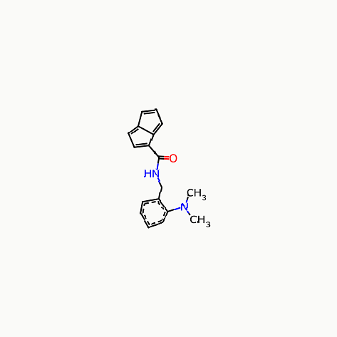 CN(C)c1ccccc1CNC(=O)C1=CC=C2C=CC=C21